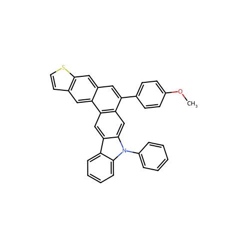 COc1ccc(-c2cc3cc4sccc4cc3c3cc4c5ccccc5n(-c5ccccc5)c4cc23)cc1